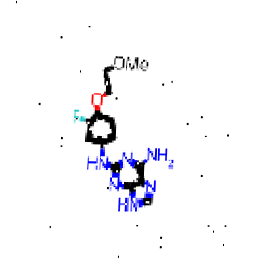 COCCOc1ccc(Nc2nc(N)c3nc[nH]c3n2)cc1F